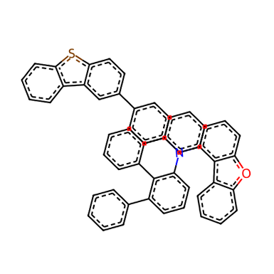 c1ccc(-c2ccccc2-c2c(-c3ccccc3)cccc2N(c2ccc(-c3ccc4sc5ccccc5c4c3)cc2)c2cccc3oc4ccccc4c23)cc1